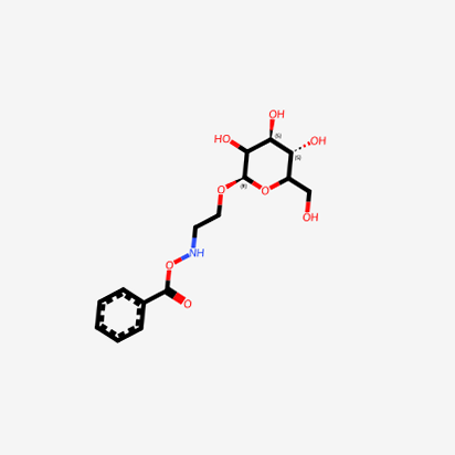 O=C(ONCCO[C@@H]1OC(CO)[C@@H](O)[C@H](O)C1O)c1ccccc1